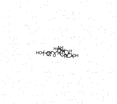 CC(C)(O)c1cnn(CC(=O)[C@H]2[C@H]3C[C@H]3[C@H]3[C@@H]4CC[C@@H]5C[C@](C)(O)CC[C@@H]5[C@H]4CC[C@@]32C)c1